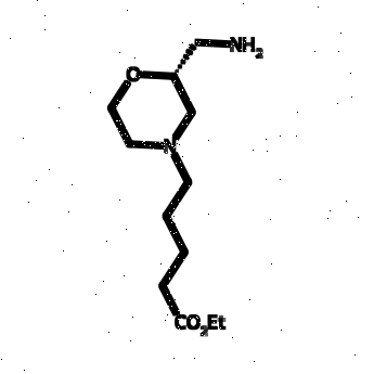 CCOC(=O)CCCCN1CCO[C@H](CN)C1